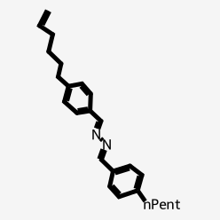 C=CCCCCc1ccc(C=NN=Cc2ccc(CCCCC)cc2)cc1